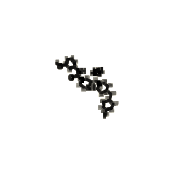 COc1cccc(NC(=O)N2CCNC(CN3CCC(Cc4ccc(F)cc4)CC3)C2)c1.Cl.Cl